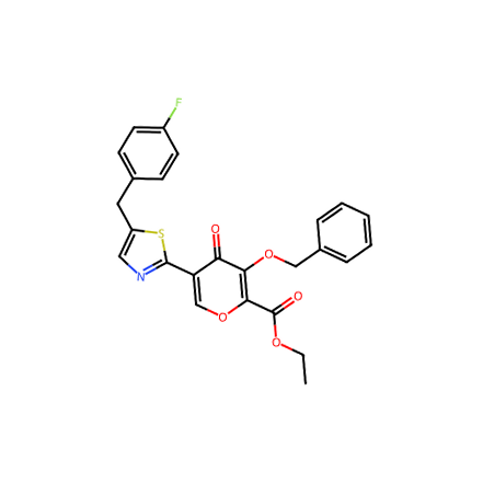 CCOC(=O)c1occ(-c2ncc(Cc3ccc(F)cc3)s2)c(=O)c1OCc1ccccc1